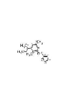 CCC(C)c1cc(C)cc(OCc2ccco2)c1C